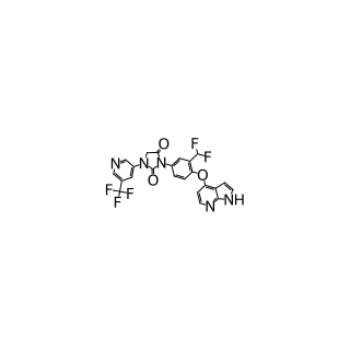 O=C1CN(c2cncc(C(F)(F)F)c2)C(=O)N1c1ccc(Oc2ccnc3[nH]ccc23)c(C(F)F)c1